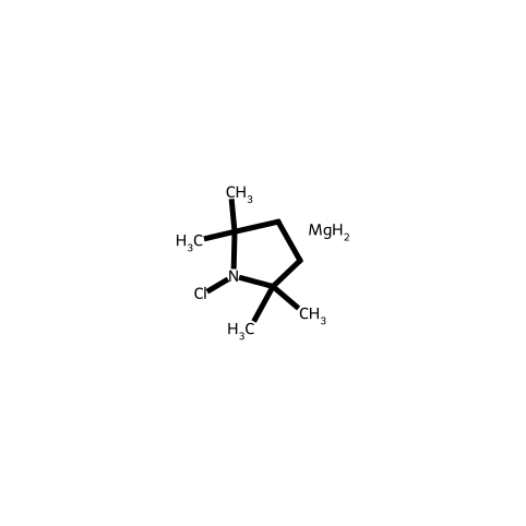 CC1(C)CCC(C)(C)N1Cl.[MgH2]